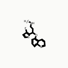 CNCCC(Oc1cccc2ncccc12)c1sccc1F